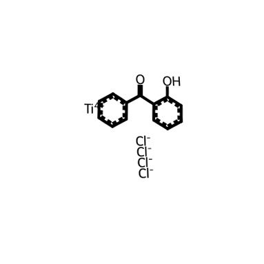 O=C(c1ccccc1)c1ccccc1O.[Cl-].[Cl-].[Cl-].[Cl-].[Ti+4]